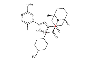 COc1cc(-c2cc(C(=O)N3[C@@H]4CCC[C@H]3C[C@H](C(=O)NC3CCC(C(F)(F)F)CC3)C4)n[nH]2)c(F)cn1